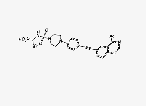 CC(=O)c1nccc2ccc(C#Cc3ccc(N4CCN(S(=O)(=O)N[C@@H](C(=O)O)C(C)C)CC4)cc3)cc12